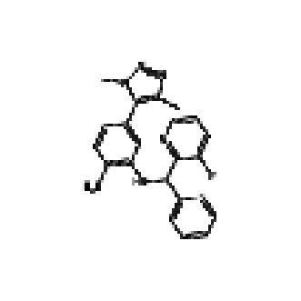 Cc1nnn(C)c1-c1ccc(N)c(NC(c2ccccc2)c2ncccc2F)c1